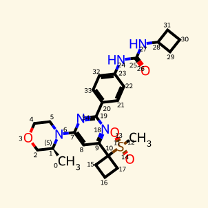 C[C@H]1COCCN1c1cc(C2(S(C)(=O)=O)CCC2)nc(-c2ccc(NC(=O)NC3CCC3)cc2)n1